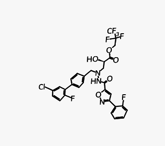 O=C(NN(Cc1ccc(-c2cc(Cl)ccc2F)cc1)C[C@@H](O)C(=O)OCC(F)(F)C(F)(F)F)c1cc(-c2ccccc2F)no1